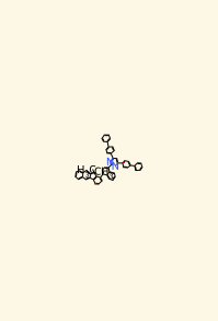 CC1(C)c2cc3ccccc3cc2-c2cccc(-c3ccc(-c4nc(-c5ccc(-c6ccccc6)cc5)cc(-c5ccc(-c6ccccc6)cc5)n4)c4ccccc34)c21